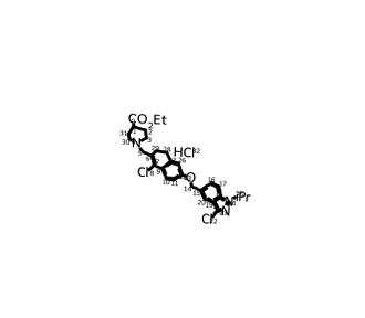 CCOC(=O)C1CCN(CC2=C(Cl)c3ccc(OCc4ccc5c(c4)c(Cl)nn5C(C)C)cc3CC2)CC1.Cl